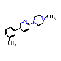 Cc1cccc(-c2ccc(N3CCN(C)CC3)nc2)c1